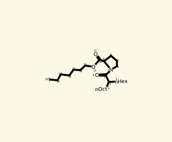 CCCCCCCCC(CCCCCC)C(=O)N1CCCC1C(=O)OCCCCCCI